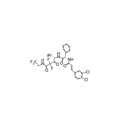 CC(C)[C@H](NC(=O)[C@@H](NC(=O)C=Cc1ccc(Cl)c(Cl)c1)c1ccccc1)C(=O)C(F)(F)C(=O)NCC(F)(F)F